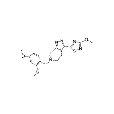 COc1ccc(CN2CCn3c(nnc3-c3nc(OC)ns3)C2)c(OC)c1